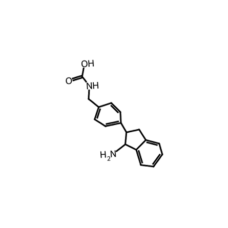 NC1c2ccccc2CC1c1ccc(CNC(=O)O)cc1